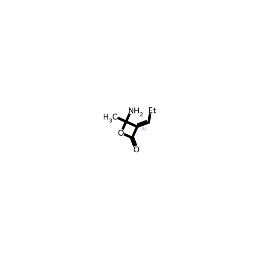 CC/C=C1/C(=O)OC1(C)N